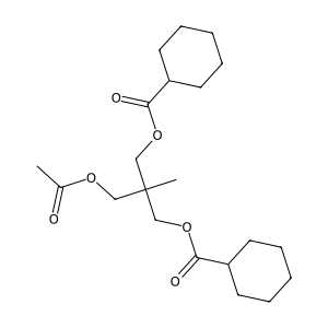 CC(=O)OCC(C)(COC(=O)C1CCCCC1)COC(=O)C1CCCCC1